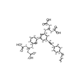 O=C(O)CN(CC(=O)O)Cc1cccc(-c2cc(C#Cc3ccc(N=C=S)cc3)cc(CN(CC(=O)O)CC(=O)O)n2)n1